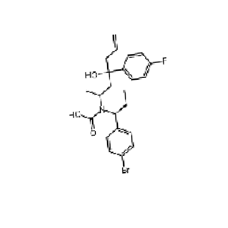 C=CCC(O)(CC(C)N(C(=O)O)[C@@H](CC)c1ccc(Br)cc1)c1ccc(F)cc1